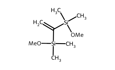 C=C([Si](C)(C)OC)[Si](C)(C)OC